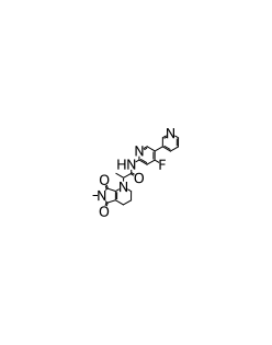 CC(C(=O)Nc1cc(F)c(-c2cccnc2)cn1)N1CCCC2=C1C(=O)N(C)C2=O